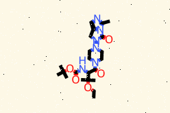 CCOC(C)(C)C(NC(=O)OC(C)(C)C)C(=O)N1CCN(N2Cc3cnc(C)n3C2=O)CC1